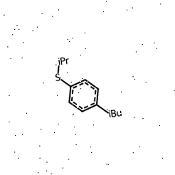 CCC(C)c1ccc(SC(C)C)cc1